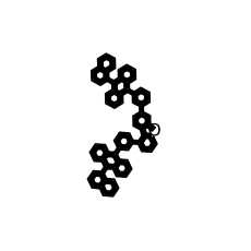 c1cc(-c2ccc3c(c2)oc2cccc(-c4cccc(-c5c6ccccc6c(-c6cccc7ccccc67)c6ccccc56)c4)c23)cc(-c2c3ccccc3c(-c3cccc4ccccc34)c3ccccc23)c1